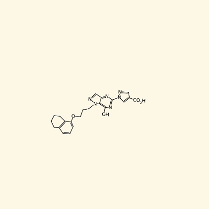 O=C(O)c1cnn(-c2nc(O)c3c(cnn3CCCOc3cccc4c3CCCC4)n2)c1